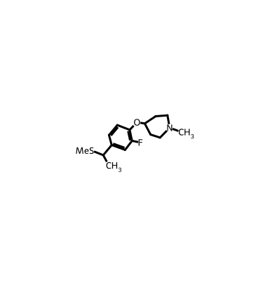 CSC(C)c1ccc(OC2CCN(C)CC2)c(F)c1